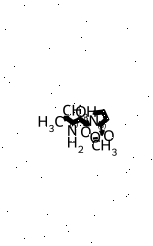 COC(=O)[C@@H]1CCCN1C(=O)[C@@H](O)[C@H](N)C(C)C